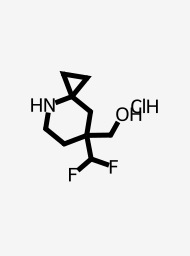 Cl.OCC1(C(F)F)CCNC2(CC2)C1